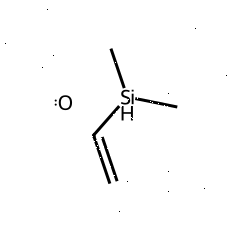 C=C[SiH](C)C.[O]